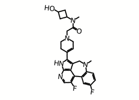 CN1Cc2c(C3=CCN(CC(=O)N(C)C4CC(O)C4)CC3)[nH]c3ncc(F)c(c23)-c2cc(F)ccc21